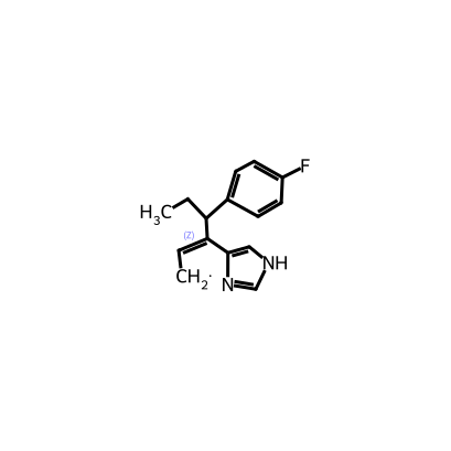 [CH2]/C=C(\c1c[nH]cn1)C(CC)c1ccc(F)cc1